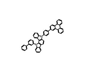 c1ccc(-c2cccc(-n3c4ccccc4c4ccc5c(c6ccccc6n5-c5ccc(-c6ccc7c8ccccc8c8ccccc8c7c6)cc5)c43)c2)cc1